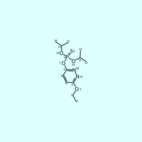 CCOc1ccc(OP(=S)(OC(C)C)OC(C)C)nn1